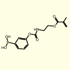 C=C(C)C(=O)OCCNC(=O)Oc1cccc(B(O)O)c1